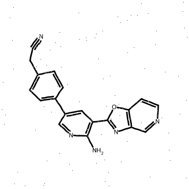 N#CCc1ccc(-c2cnc(N)c(-c3nc4cnccc4o3)c2)cc1